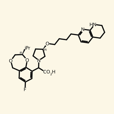 CC(C)[C@@H]1COCc2cc(F)cc(C(C(=O)O)N3CC[C@@H](OCCCCc4ccc5c(n4)NCCC5)C3)c2O1